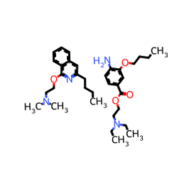 CCCCOc1cc(C(=O)OCCN(CC)CC)ccc1N.CCCCc1cc2ccccc2c(OCCN(C)C)n1